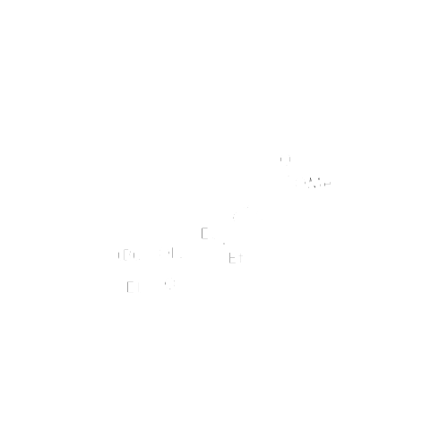 CCC(Oc1ccc(C(CC)(CC)c2ccc3cc(C(=O)OC)ccc3c2)cc1C)C(O)C(C)(C)C